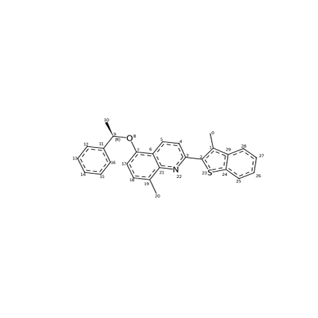 Cc1c(-c2ccc3c(O[C@H](C)c4ccccc4)ccc(C)c3n2)sc2ccccc12